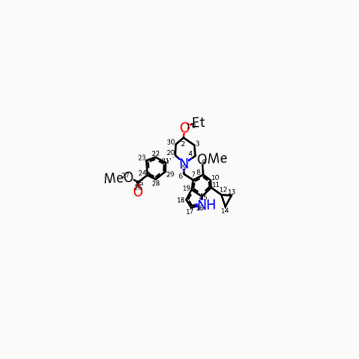 CCO[C@H]1CCN(Cc2c(OC)cc(C3CC3)c3[nH]ccc23)[C@H](c2ccc(C(=O)OC)cc2)C1